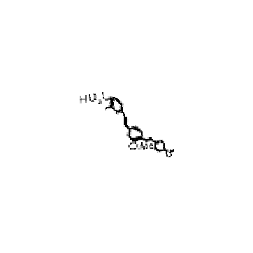 COc1cc(/C=C/c2ccc(C(=O)O)c(C)c2)ccc1/C=C/c1ccc(N(C)C)cc1